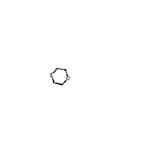 [CH]1CS[CH]CO1